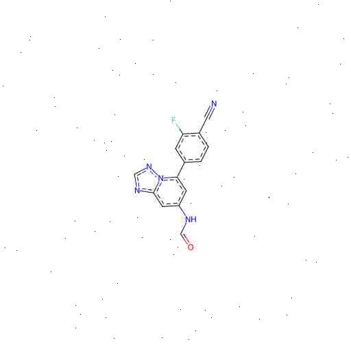 N#Cc1ccc(-c2cc(NC=O)cc3ncnn23)cc1F